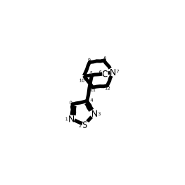 c1nsnc1C1CN2CCC1CC2